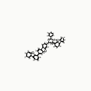 c1ccc(C2=NC(c3ccc4c(c3)oc3cc(-c5cccc6c5oc5ccccc56)ccc34)NC(c3cccc4c3oc3ccccc34)N2)cc1